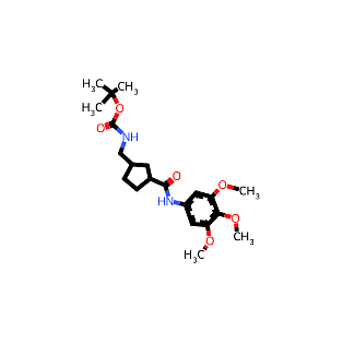 COc1cc(NC(=O)C2CCC(CNC(=O)OC(C)(C)C)C2)cc(OC)c1OC